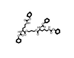 O=C(NCCCC(NC(=O)Oc1ccccc1)C(=O)OCCCOC(=O)C(CCCNC(=O)Oc1ccccc1)NC(=O)Oc1ccccc1)Oc1ccccc1